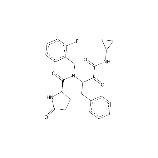 O=C1CC[C@H](C(=O)N(Cc2ccccc2F)C(Cc2ccccc2)C(=O)C(=O)NC2CC2)N1